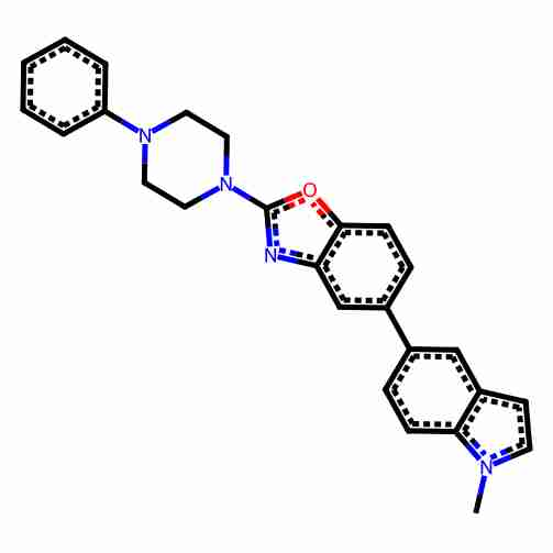 Cn1ccc2cc(-c3ccc4oc(N5CCN(c6ccccc6)CC5)nc4c3)ccc21